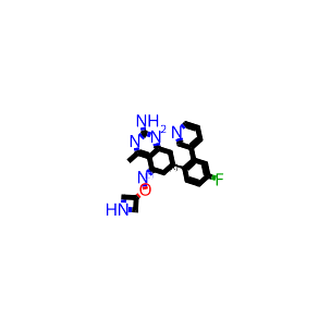 Cc1nc(N)nc2c1/C(=N/OC1CNC1)C[C@H](c1ccc(F)cc1-c1cccnc1)C2